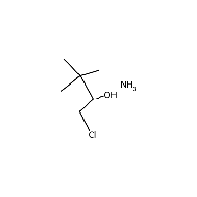 CC(C)(C)C(O)CCl.N